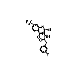 CCc1nc2cc(C(F)(F)F)ccc2c(=O)n1NC(=O)Cc1cccc(F)c1